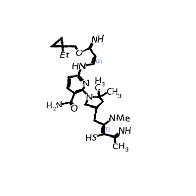 CCC1(COC(=N)/C=C\Nc2ccc(C(N)=O)c(N3CC(C/C(NC)=C(\S)C(C)=N)CC3(C)C)n2)CC1